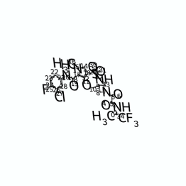 C[C@H](NC(=O)C(=O)N1CC2(COc3c(cn(C)c3C(=O)Nc3ccc(F)c(Cl)c3)S(=O)(=O)N2)C1)C(F)(F)F